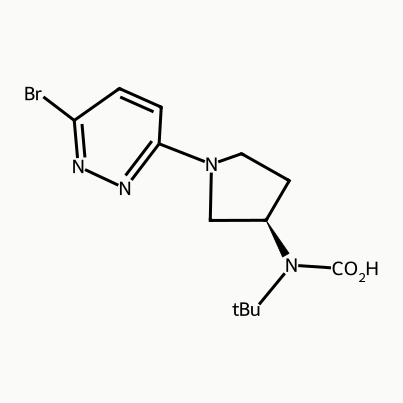 CC(C)(C)N(C(=O)O)[C@@H]1CCN(c2ccc(Br)nn2)C1